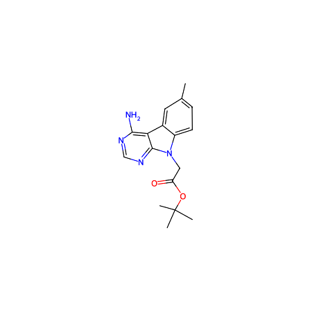 Cc1ccc2c(c1)c1c(N)ncnc1n2CC(=O)OC(C)(C)C